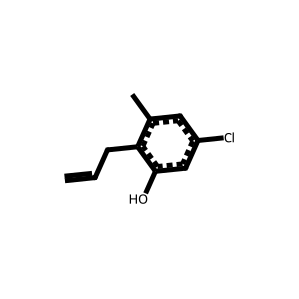 C=CCc1c(C)cc(Cl)cc1O